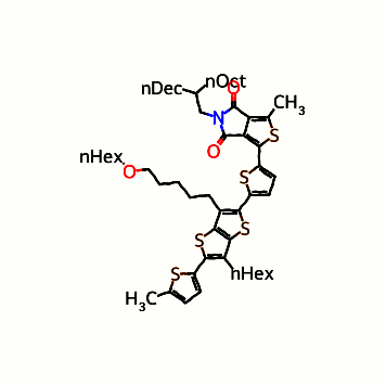 CCCCCCCCCCC(CCCCCCCC)CN1C(=O)c2c(C)sc(-c3ccc(-c4sc5c(CCCCCC)c(-c6ccc(C)s6)sc5c4CCCCCOCCCCCC)s3)c2C1=O